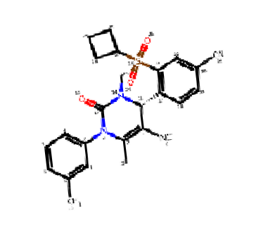 [C-]#[N+]C1=C(C)N(c2cccc(C(F)(F)F)c2)C(=O)N(C)[C@@H]1c1ccc(C#N)cc1S(=O)(=O)C1CCC1